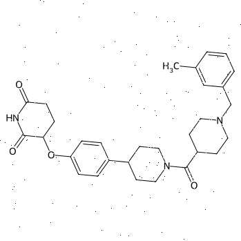 Cc1cccc(CN2CCC(C(=O)N3CCC(c4ccc(OC5CCC(=O)NC5=O)cc4)CC3)CC2)c1